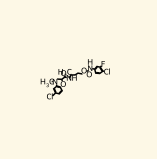 C=C(CCCOC(=O)Nc1ccc(Cl)c(F)c1)NC(=O)C1CN(C)c2cc(Cl)ccc2O1